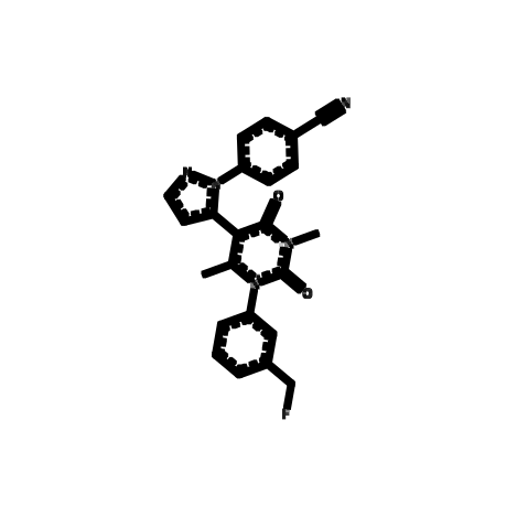 Cc1c(-c2ccnn2-c2ccc(C#N)cc2)c(=O)n(C)c(=O)n1-c1cccc(CF)c1